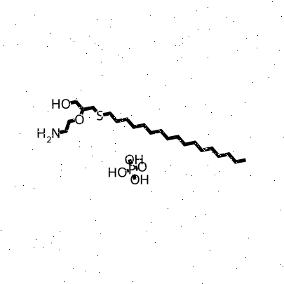 CCCCCCCCCCCCCCCCCSCC(CO)OCCN.O=P(O)(O)O